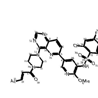 COc1ncc(-c2ccc3ncnc(N4CCN(C(=O)C=CC(C)=O)CC4)c3n2)cc1NS(=O)(=O)c1ccc(F)cc1Cl